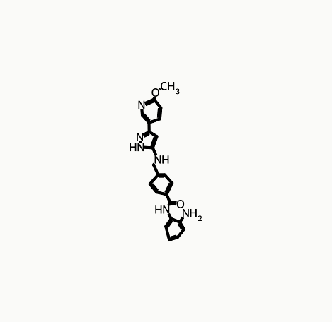 COc1ccc(-c2cc(NCc3ccc(C(=O)Nc4ccccc4N)cc3)[nH]n2)cn1